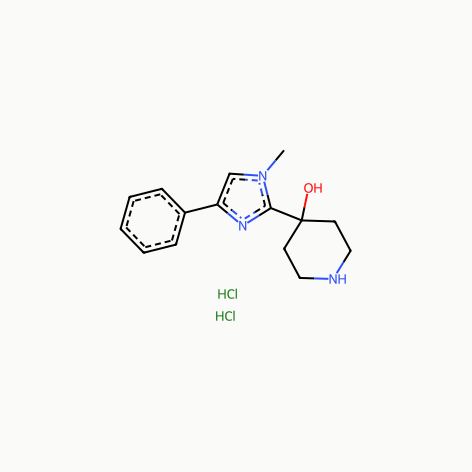 Cl.Cl.Cn1cc(-c2ccccc2)nc1C1(O)CCNCC1